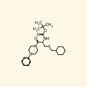 CC(C)(C)OC(=O)N[C@@H](CSCC1CCCCC1)C(=O)N1CCN(c2ccccc2)CC1